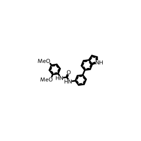 COc1ccc(NC(=O)Nc2cccc(-c3ccc4cc[nH]c4c3)c2)c(OC)c1